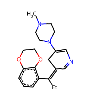 CCC(=C1C=NC=C(N2CCN(C)CC2)C1)c1cccc2c1OCCO2